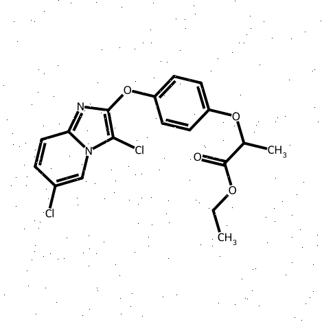 CCOC(=O)C(C)Oc1ccc(Oc2nc3ccc(Cl)cn3c2Cl)cc1